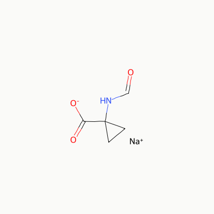 O=CNC1(C(=O)[O-])CC1.[Na+]